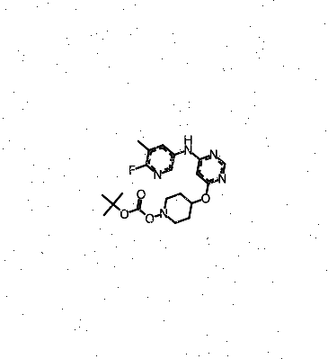 Cc1cc(Nc2cc(OC3CCN(OC(=O)OC(C)(C)C)CC3)ncn2)cnc1F